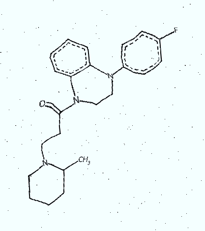 CC1CCCCN1CCC(=O)N1CCN(c2ccc(F)cc2)c2ccccc21